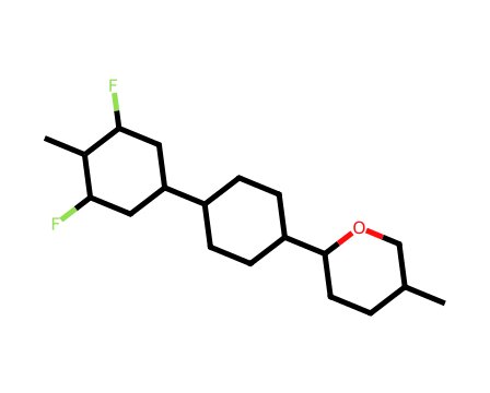 CC1CCC(C2CCC(C3CC(F)C(C)C(F)C3)CC2)OC1